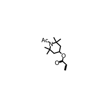 C=CC(=O)OC1CC(C)(C)N(C(C)=O)C(C)(C)C1